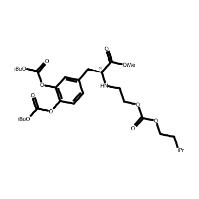 COC(=O)[C@H](Cc1ccc(OC(=O)OCC(C)C)c(OC(=O)OCC(C)C)c1)NCCOC(=O)OCCC(C)C